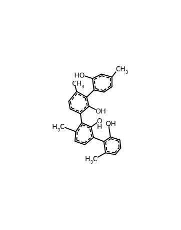 Cc1ccc(-c2c(C)ccc(-c3c(C)ccc(-c4c(C)cccc4O)c3O)c2O)c(O)c1